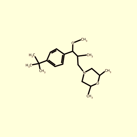 COC(c1ccc(C(C)(C)C)cc1)C(C)CN1CC(C)OC(C)C1